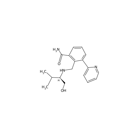 CC(C)[C@H](CO)NCc1c(C(N)=O)cccc1-c1ccccn1